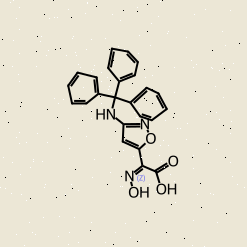 O=C(O)/C(=N\O)c1cc(NC(c2ccccc2)(c2ccccc2)c2ccccc2)no1